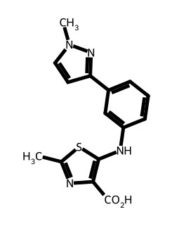 Cc1nc(C(=O)O)c(Nc2cccc(-c3ccn(C)n3)c2)s1